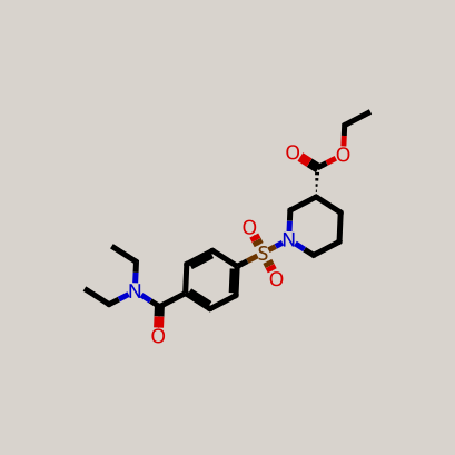 CCOC(=O)[C@@H]1CCCN(S(=O)(=O)c2ccc(C(=O)N(CC)CC)cc2)C1